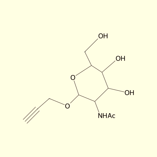 C#CCOC1OC(CO)C(O)C(O)C1NC(C)=O